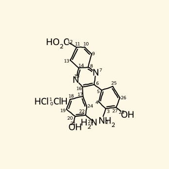 Cl.Cl.Nc1cc(-c2nc3ccc(C(=O)O)cc3nc2-c2ccc(O)c(N)c2)ccc1O